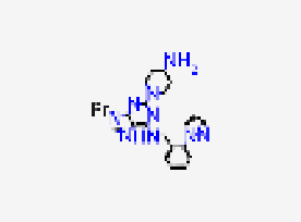 CC(C)n1cnc2c(NCc3ccccc3-n3cc[c]n3)nc(N3CCC(N)CC3)nc21